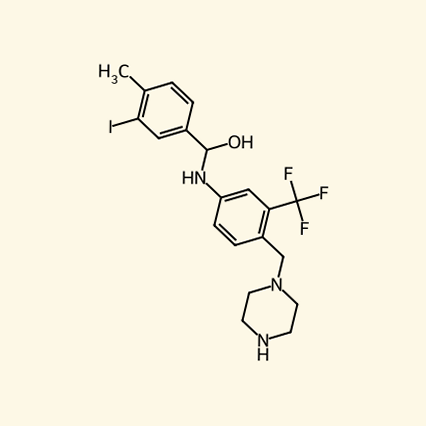 Cc1ccc(C(O)Nc2ccc(CN3CCNCC3)c(C(F)(F)F)c2)cc1I